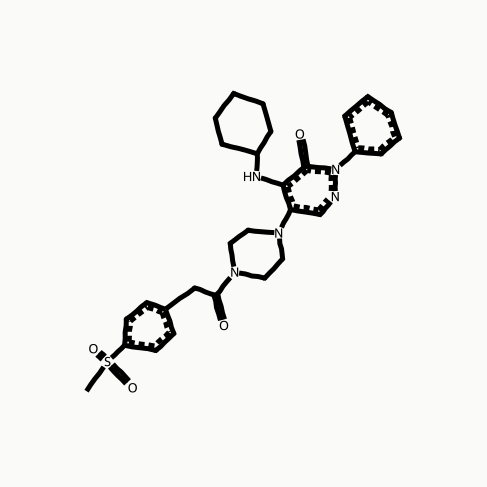 CS(=O)(=O)c1ccc(CC(=O)N2CCN(c3cnn(-c4ccccc4)c(=O)c3NC3CCCCC3)CC2)cc1